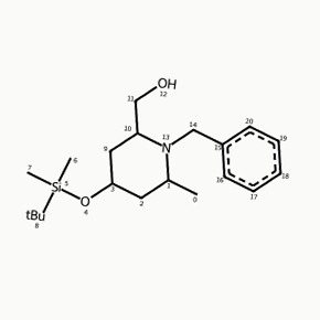 CC1CC(O[Si](C)(C)C(C)(C)C)CC(CO)N1Cc1ccccc1